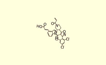 C=CC(=O)N1CCC(c2onc(-c3c(Cl)cc(Cl)cc3Cl)c2C(=O)n2ncc3c(/C=C/C(=O)O)cccc32)CC1